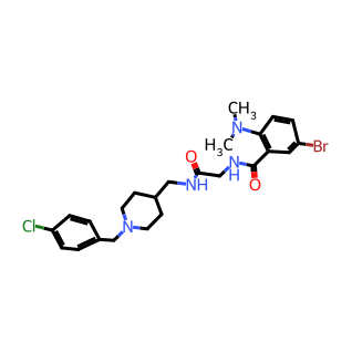 CN(C)c1ccc(Br)cc1C(=O)NCC(=O)NCC1CCN(Cc2ccc(Cl)cc2)CC1